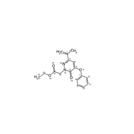 C=C(C)c1cc(Oc2ccccc2)c(=O)n(CC(=O)OCC)n1